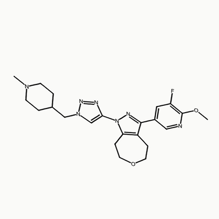 COc1ncc(-c2nn(-c3cn(CC4CCN(C)CC4)nn3)c3c2CCOCC3)cc1F